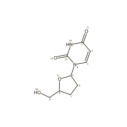 O=c1ccn(C2CCC(CO)O2)c(=O)[nH]1